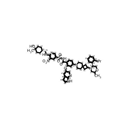 CC1CN(C2CC3(CCN(c4ccc(C(=O)NS(=O)(=O)c5cnc(NC[C@H]6CC[C@](C)(O)CC6)c([N+](=O)[O-])c5)c(Oc5cnc6[nH]ccc6c5)c4)CC3)C2)[C@@H](c2ccccc2C(C)C)CO1